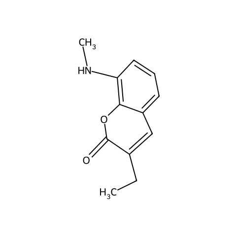 CCc1cc2cccc(NC)c2oc1=O